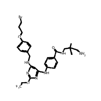 CC(C)(CN)CNC(=O)c1ccc(Nc2cc(NCc3ccc(OCCCBr)cc3)nc(OCC(F)(F)F)n2)cc1